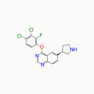 Fc1c(Oc2ncnc3ccc([C@H]4CCNC4)cc23)ccc(Cl)c1Cl